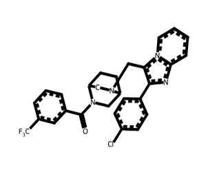 O=C(c1cccc(C(F)(F)F)c1)N1CC2CCC1CN2Cc1c(-c2ccc(Cl)cc2)nc2ccccn12